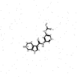 O=C(Nc1cncc(OC(F)F)c1)c1csc2c1CCNC2